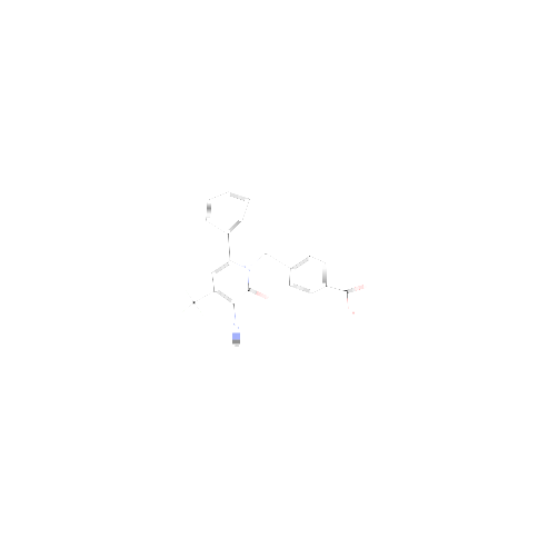 [C-]#[N+]c1c(C(F)(F)F)cc(-c2ccccc2)n(Cc2ccc(C(=O)O)cc2)c1=O